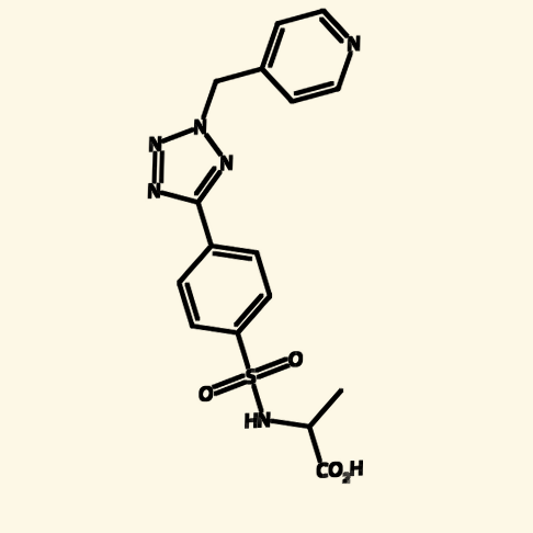 CC(NS(=O)(=O)c1ccc(-c2nnn(Cc3ccncc3)n2)cc1)C(=O)O